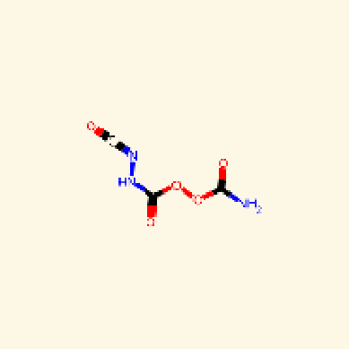 NC(=O)OOC(=O)NN=C=O